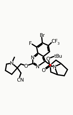 CN1CCCC1(CC#N)COc1nc(N2CC3CCC(C2)N3C(=O)OC(C)(C)C)c2cc(C(F)(F)F)c(Br)c(F)c2n1